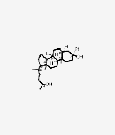 CC[C@]1(O)CC[C@@]2(C)[C@@H](CC[C@@H]3[C@@H]2CC[C@]2(C)[C@@H]([C@H](C)CC[C@H](C)O)CC[C@@H]32)C1